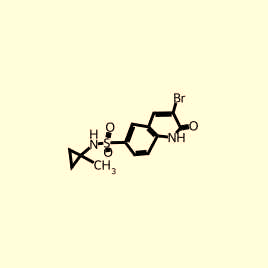 CC1(NS(=O)(=O)c2ccc3[nH]c(=O)c(Br)cc3c2)CC1